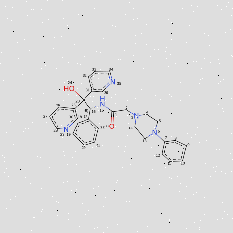 O=C(CN1CCN(c2ccccc2)CC1)N[C@H](c1ccccc1)C(O)(c1cccnc1)c1cccnc1